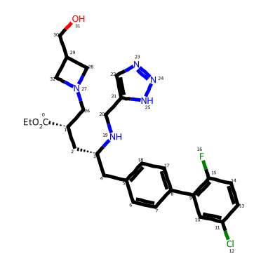 CCOC(=O)[C@@H](C[C@@H](Cc1ccc(-c2cc(Cl)ccc2F)cc1)NCc1cnn[nH]1)CN1CC(CO)C1